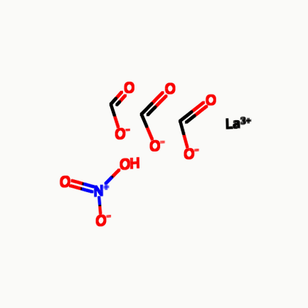 O=C[O-].O=C[O-].O=C[O-].O=[N+]([O-])O.[La+3]